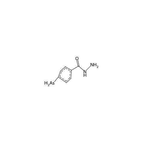 NNC(=O)c1ccc([AsH2])cc1